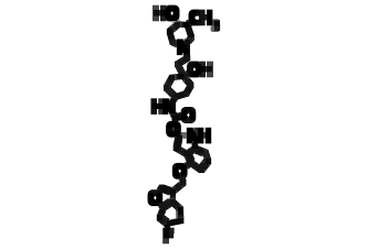 C[C@H]1CN(CCC2(O)CCC(NC(=O)Oc3cc4c(OCc5coc6cc(F)ccc56)cccc4[nH]3)CC2)CC[C@@H]1O